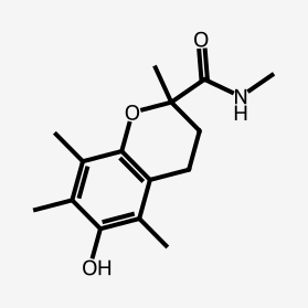 CNC(=O)C1(C)CCc2c(C)c(O)c(C)c(C)c2O1